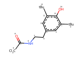 CC(C)(C)c1cc(CCNC(=O)C(Cl)(Cl)Cl)cc(C(C)(C)C)c1O